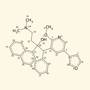 COc1ncc(-c2ccoc2)cc1C(c1ccccc1)C(O)(CCN(C)C)c1cccc2ccccc12